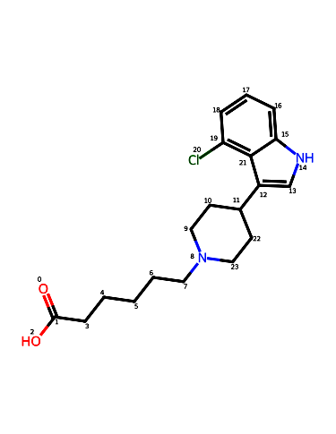 O=C(O)CCCCCN1CCC(c2c[nH]c3cccc(Cl)c23)CC1